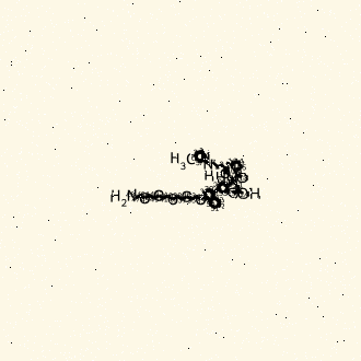 Cc1ccnc(NCCCC(=O)N2CCC[C@H]2C(=O)N[C@@H](CC(=O)O)c2ccc(-c3ccc(OCCOCCOCCOCCOCCN)c4ccccc34)cc2)c1